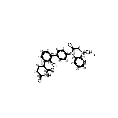 CN1CC(=O)N(c2ccc(-c3cccc(C4CCC(=O)NC4=O)c3Cl)cc2)c2cccnc21